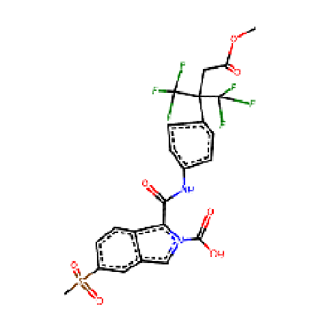 COC(=O)CC(c1ccc(NC(=O)c2c3ccc(S(C)(=O)=O)cc3cn2C(=O)O)cc1)(C(F)(F)F)C(F)(F)F